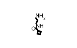 NCCCNC(=O)C1=CCC1